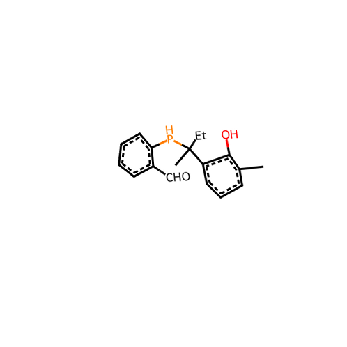 CCC(C)(Pc1ccccc1C=O)c1cccc(C)c1O